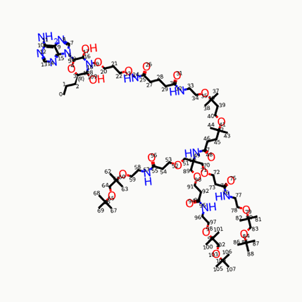 CCC[C@H]1O[C@@H](n2cnc3c(N)ncnc32)C(O)N(OCCCONC(=O)CCCC(=O)NCCOC(C)(C)CCOC(C)(C)CCC(=O)NC(COCCC(=O)NCCOC(C)(C)COC(C)(C)C)(COCCC(=O)NCCOC(C)(C)COC(C)(C)C)COCCC(=O)NCCOC(C)(C)COC(C)(C)C)C1O